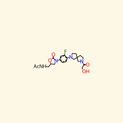 CC(=O)NCC1CN(c2ccc(N3CCC4(CCN(C(=O)CO)C4)C3)c(F)c2)C(=O)O1